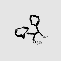 CCCC(c1ccccc1)C(C(=O)OCC)N1C=CC=NC=C1